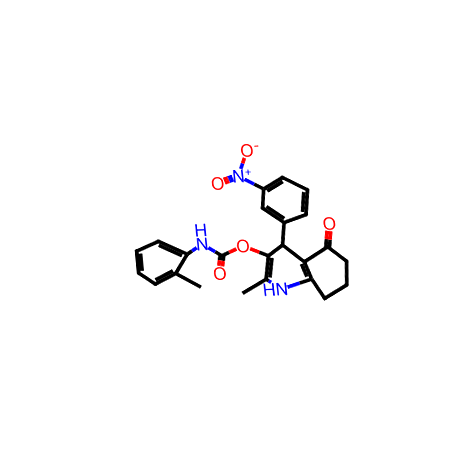 CC1=C(OC(=O)Nc2ccccc2C)C(c2cccc([N+](=O)[O-])c2)C2=C(CCCC2=O)N1